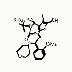 COc1ccccc1C(Cn1c(=O)n(C(C)(C)C(=O)O)c(=O)c2c(C)c(C#N)sc21)OC1CCOCC1